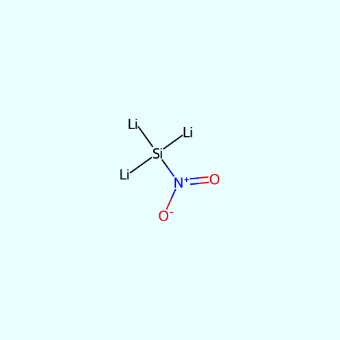 [Li][Si]([Li])([Li])[N+](=O)[O-]